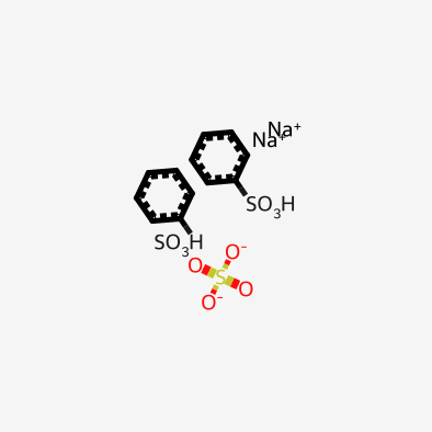 O=S(=O)(O)c1ccccc1.O=S(=O)(O)c1ccccc1.O=S(=O)([O-])[O-].[Na+].[Na+]